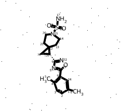 Cc1ccc(C)c(-c2nc([C@@H]3CC34CCN(S(N)(=O)=O)CC4)no2)c1